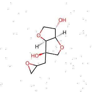 O[C@H]1CO[C@H]2[C@@H]1OC[C@]2(O)CC1CO1